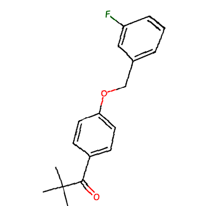 CC(C)(C)C(=O)c1ccc(OCc2cccc(F)c2)cc1